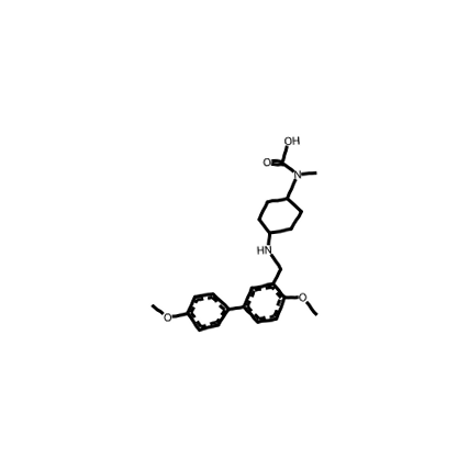 COc1ccc(-c2ccc(OC)c(CNC3CCC(N(C)C(=O)O)CC3)c2)cc1